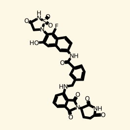 O=C1CCC(N2C(=O)c3cccc(NCc4cccc(C(=O)Nc5ccc6c(F)c(N7CC(=O)NS7(=O)=O)c(O)cc6c5)c4)c3C2=O)C(=O)N1